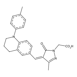 CC1=NN(CC(=O)O)C(=O)/C1=C\c1ccc2c(c1)CCCN2c1ccc(C)cc1